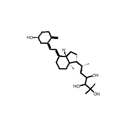 C=C1CC[C@H](O)C/C1=C/C=C1\CCC[C@]2(C)[C@@H]([C@H](C)CC(O)C(O)C(C)(C)O)CC[C@@H]12